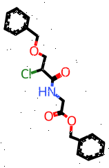 O=C(CNC(=O)C(Cl)COCc1ccccc1)OCc1ccccc1